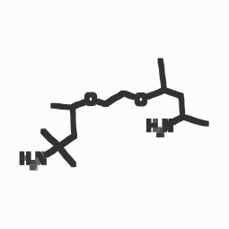 CC(N)CC(C)OCCOC(C)CC(C)(C)N